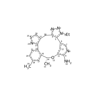 CCn1nnc2c1-c1cnc(N)c(c1)O[C@H](C)c1cc(C)ccc1-c1nscc1C2